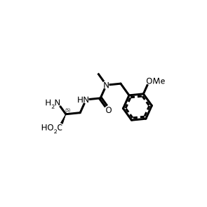 COc1ccccc1CN(C)C(=O)NC[C@H](N)C(=O)O